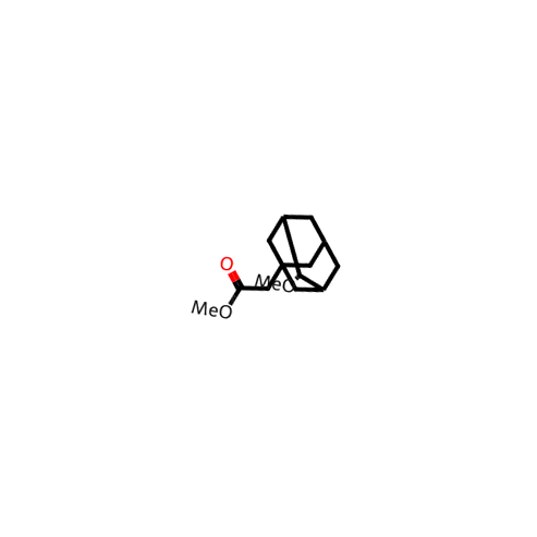 COC(=O)CC12CC3CC(C1)C(OC)C(C3)C2